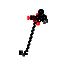 CCCCCCCCC=CCCCCCCCC(=O)OCC(CO)O[Si](c1ccccc1)(c1ccccc1)C(C)(C)C